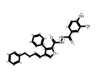 N#Cc1cc(C(=O)NNC(=O)c2occ(C=CCCc3ccccc3)c2-c2ccccc2)ccc1O